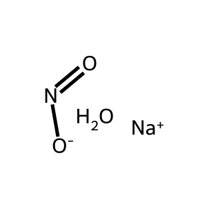 O.O=N[O-].[Na+]